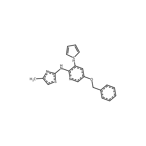 Cc1csc(Nc2ncc(OCc3ccccc3)cc2[SH]2C=CC=C2)n1